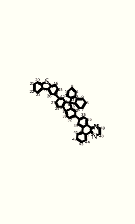 c1ccc(C2(c3ccccc3)c3cc(-c4ccc5sc6ccccc6c5c4)ccc3-c3ccc(-c4ccc5c(c4)c4ccccc4c4nccnc54)cc32)cc1